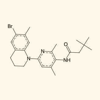 Cc1cc2c(cc1Br)CCCN2c1cc(C)c(NC(=O)CC(C)(C)C)c(C)n1